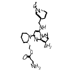 Bc1cnn2c(NCc3ccc[n+](OC)c3)cc(N3CCCC[C@H]3CCOC(=O)CN)nc12